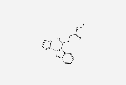 CCOC(=O)CCC(=O)c1c(-c2ccco2)cc2ccccn12